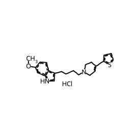 COc1ccc2c(CCCCN3CC=C(c4cccs4)CC3)c[nH]c2c1.Cl